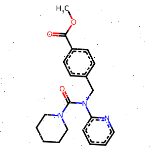 COC(=O)c1ccc(CN(C(=O)N2CCCCC2)c2ccccn2)cc1